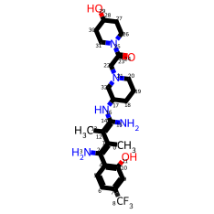 CC(=C(/N)c1ccc(C(F)(F)F)cc1O)/C(C)=C(\N)NC1CCCN(CC(=O)N2CCC(O)CC2)C1